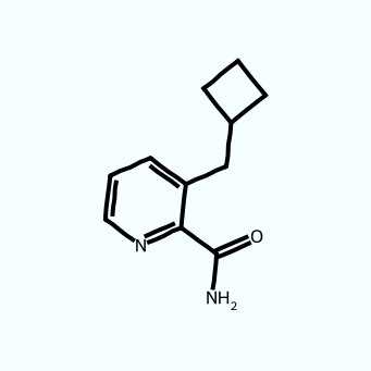 NC(=O)c1ncccc1CC1CCC1